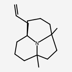 C=CCC12CCCC3(C)CCC(C)(CCC1)N32